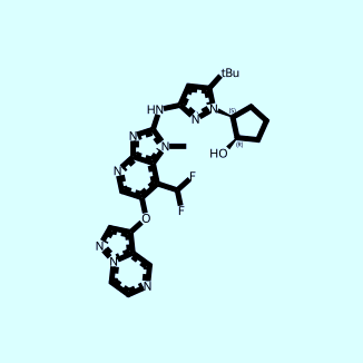 Cn1c(Nc2cc(C(C)(C)C)n([C@H]3CCC[C@H]3O)n2)nc2ncc(Oc3cnn4ccncc34)c(C(F)F)c21